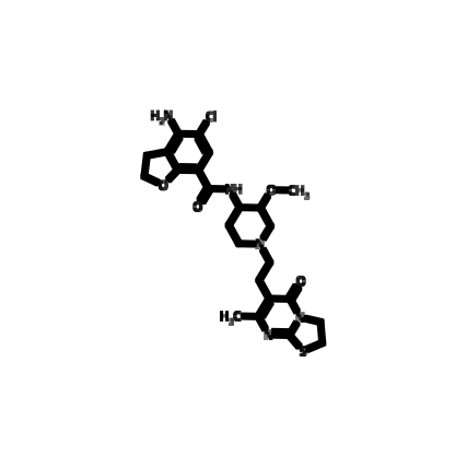 COC1CN(CCc2c(C)nc3n(c2=O)CCS3)CCC1NC(=O)c1cc(Cl)c(N)c2c1OCC2